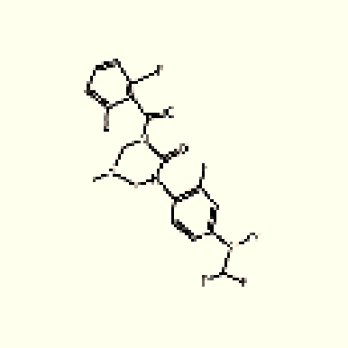 CN1CN(C(=O)c2c(F)cccc2F)C(=O)N(c2ccc([S+]([O-])C(F)F)cc2F)C1